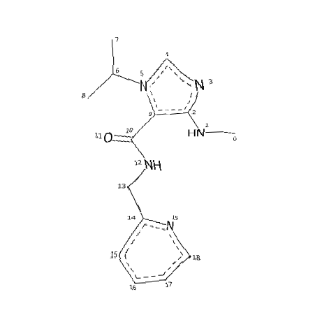 CNc1ncn(C(C)C)c1C(=O)NCc1ccccn1